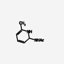 CC(=O)NC1C=CC=C(C)N1